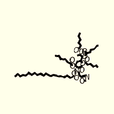 CCCCCCCCCCCCCCCCCCCC(=O)OC(c1cnco1)c1nc(C(CC(OC(=O)CCCCC)C(OC(=O)CCCCC)C(C)OC(=O)CCCCC)OC(=O)CCCCC)co1